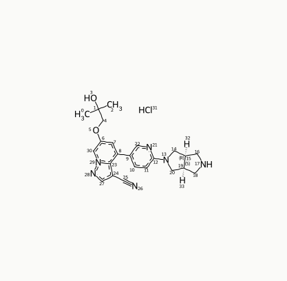 CC(C)(O)COc1cc(-c2ccc(N3C[C@H]4CNC[C@H]4C3)nc2)c2c(C#N)cnn2c1.Cl